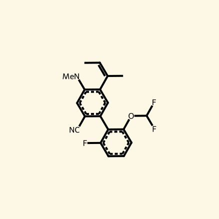 C/C=C(/C)c1cc(-c2c(F)cccc2OC(F)F)c(C#N)cc1NC